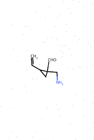 C=CC1CC1(C=O)CN